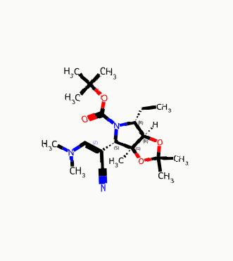 CC[C@@H]1[C@H]2OC(C)(C)O[C@@]2(C)[C@H](/C(C#N)=C/N(C)C)N1C(=O)OC(C)(C)C